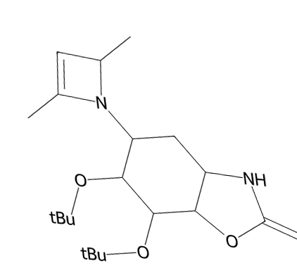 CC1=CC(C)N1C1CC2NC(=O)OC2C(OC(C)(C)C)C1OC(C)(C)C